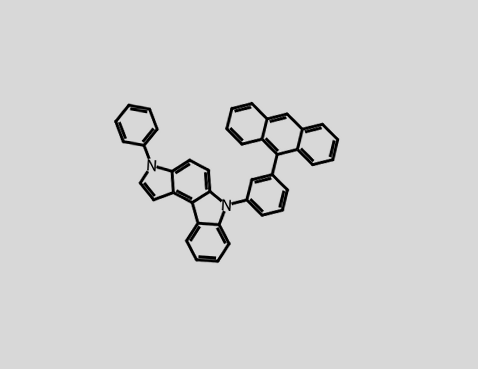 c1ccc(-n2ccc3c4c5ccccc5n(-c5cccc(-c6c7ccccc7cc7ccccc67)c5)c4ccc32)cc1